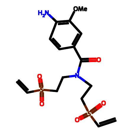 C=CS(=O)(=O)CCN(CCS(=O)(=O)C=C)C(=O)c1ccc(N)c(OC)c1